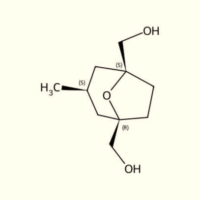 C[C@H]1C[C@]2(CO)CC[C@](CO)(C1)O2